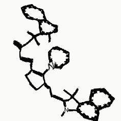 C=C(/C=C/C1=C([n+]2ccccc2)C(=C/C=C2/N(C)c3ccc4ccccc4c3C2(C)C)/CCC1)C(C)(C)c1c(C)ccc2ccccc12